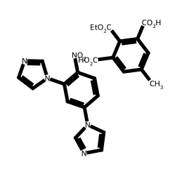 CCOC(=O)c1c(C(=O)O)cc(C)cc1C(=O)O.O=[N+]([O-])c1ccc(-n2ccnc2)cc1-n1ccnc1